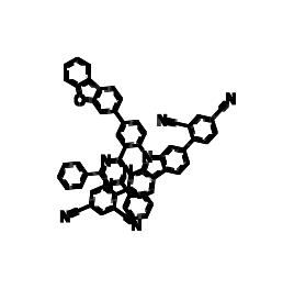 N#Cc1ccc(-c2ccc3c4ccc(-c5ccc(C#N)cc5C#N)cc4n(-c4ccc(-c5ccc6c(c5)oc5ccccc56)cc4-c4nc(-c5ccccc5)nc(-c5ccccc5)n4)c3c2)c(C#N)c1